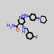 NC(=O)c1cnc(Nc2ccc(N3CCCCC3)cc2)cc1NCc1cccc(F)c1